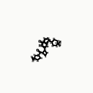 O=C(C1CCC1c1nc2c(cnn2C2CCC(F)(F)CC2)c(=O)[nH]1)N1CCC2(CC2)C1